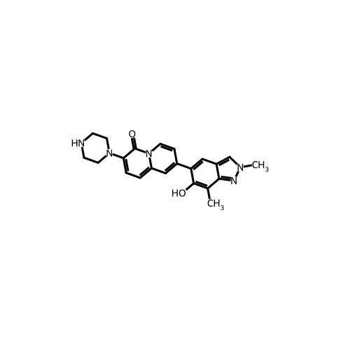 Cc1c(O)c(-c2ccn3c(=O)c(N4CCNCC4)ccc3c2)cc2cn(C)nc12